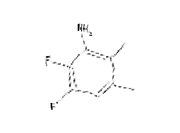 Cc1cc(F)c(F)c(N)c1C